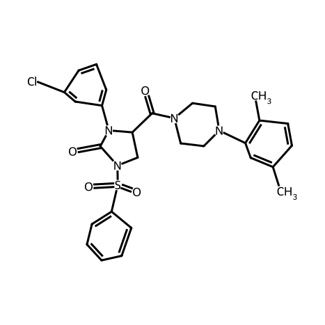 Cc1ccc(C)c(N2CCN(C(=O)C3CN(S(=O)(=O)c4ccccc4)C(=O)N3c3cccc(Cl)c3)CC2)c1